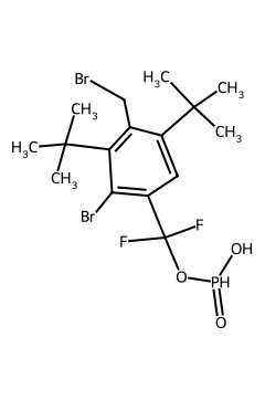 CC(C)(C)c1cc(C(F)(F)O[PH](=O)O)c(Br)c(C(C)(C)C)c1CBr